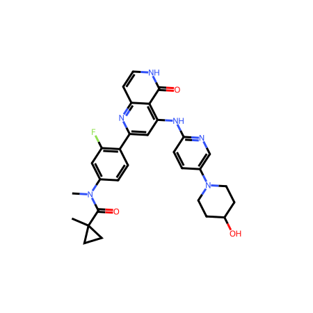 CN(C(=O)C1(C)CC1)c1ccc(-c2cc(Nc3ccc(N4CCC(O)CC4)cn3)c3c(=O)[nH]ccc3n2)c(F)c1